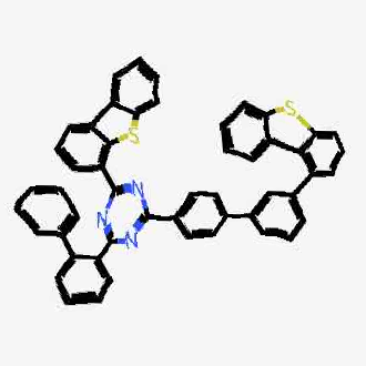 c1ccc(-c2ccccc2-c2nc(-c3ccc(-c4cccc(-c5cccc6sc7ccccc7c56)c4)cc3)nc(-c3cccc4c3sc3ccccc34)n2)cc1